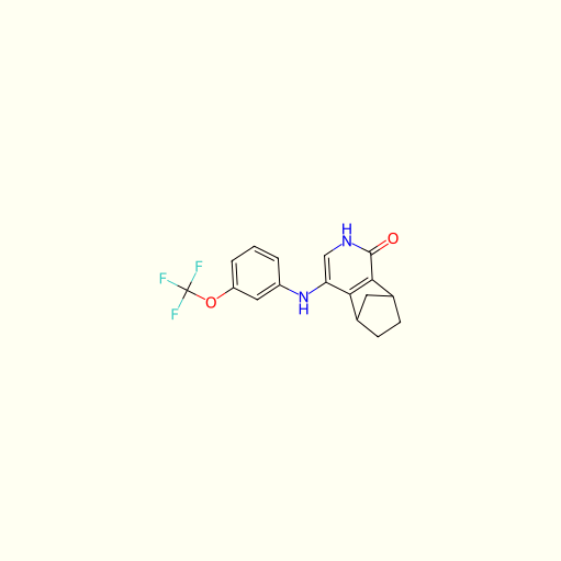 O=c1[nH]cc(Nc2cccc(OC(F)(F)F)c2)c2c1C1CCC2C1